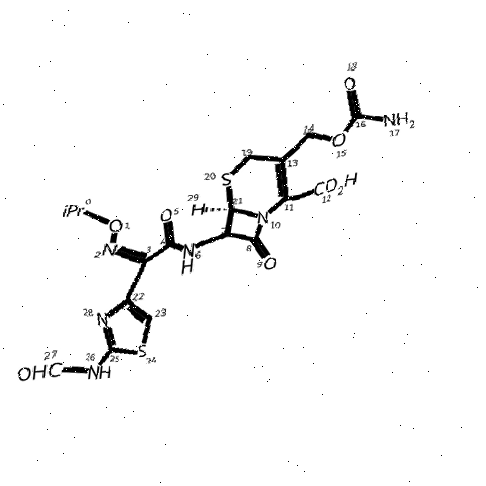 CC(C)O/N=C(\C(=O)NC1C(=O)N2C(C(=O)O)=C(COC(N)=O)CS[C@H]12)c1csc(NC=O)n1